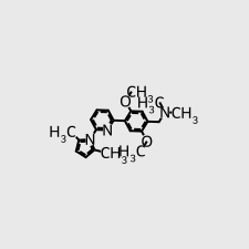 COc1cc(-c2cccc(-n3c(C)ccc3C)n2)c(OC)cc1CN(C)C